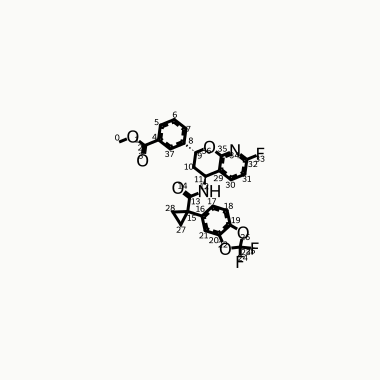 COC(=O)c1cccc([C@H]2C[C@H](NC(=O)C3(c4ccc5c(c4)OC(F)(F)O5)CC3)c3ccc(F)nc3O2)c1